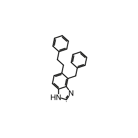 [c]1nc2c(Cc3ccccc3)c(CCc3ccccc3)ccc2[nH]1